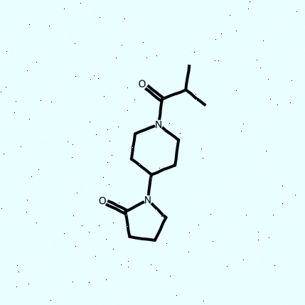 CC(C)C(=O)N1CCC(N2CCCC2=O)CC1